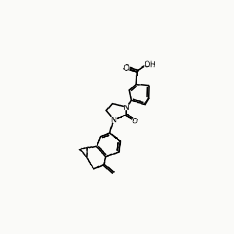 C=C1CC2CC2c2cc(N3CCN(c4cccc(C(=O)O)c4)C3=O)ccc21